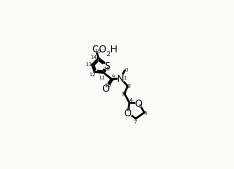 CN(CCC1OCCO1)C(=O)c1ccc(C(=O)O)s1